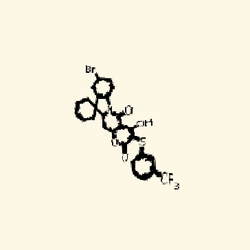 O=c1oc2cc3n(c(=O)c2c(O)c1Sc1cccc(C(F)(F)F)c1)-c1ccc(Br)cc1C31CCCCC1